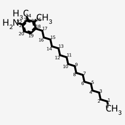 CCCCCCCCCCCCCCCCCCc1ccc(N)c(C)c1C